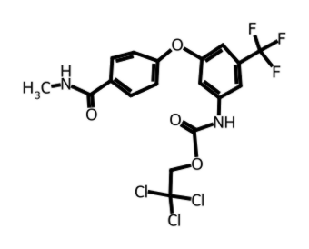 CNC(=O)c1ccc(Oc2cc(NC(=O)OCC(Cl)(Cl)Cl)cc(C(F)(F)F)c2)cc1